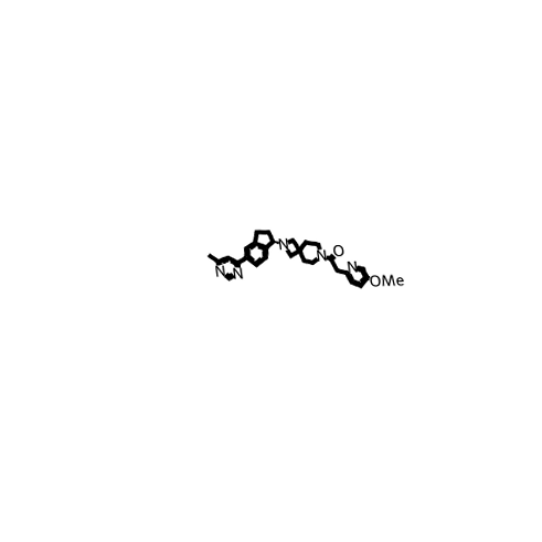 COc1ccc(CC(=O)N2CCC3(CC2)CN([C@@H]2CCc4cc(-c5cc(C)ncn5)ccc42)C3)nc1